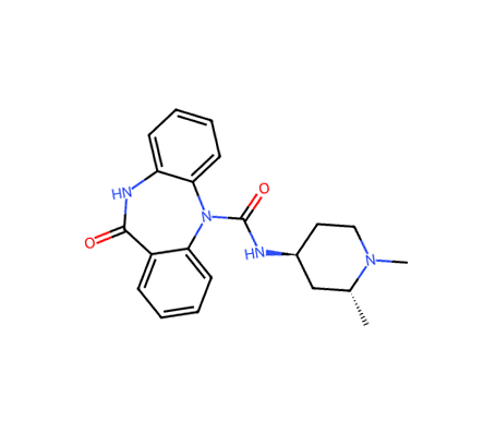 C[C@@H]1C[C@@H](NC(=O)N2c3ccccc3NC(=O)c3ccccc32)CCN1C